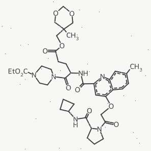 CCOC(=O)N1CCN(C(=O)C(CCC(=O)OCC2(C)COCOC2)NC(=O)c2cc(OCC(=O)N3CCCC3C(=O)NC3CCC3)c3ccc(C)cc3n2)CC1